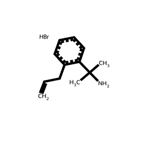 Br.C=CCc1ccccc1C(C)(C)N